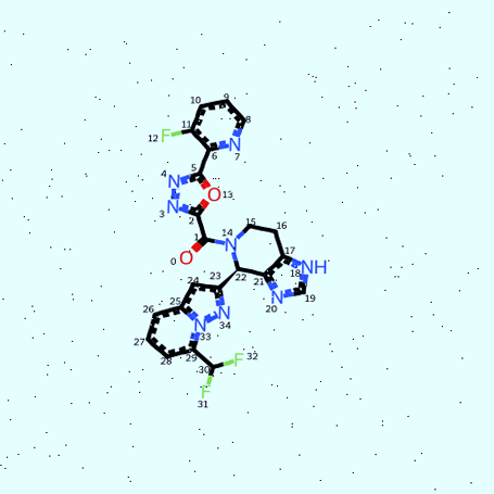 O=C(c1nnc(-c2ncccc2F)o1)N1CCc2[nH]cnc2[C@H]1c1cc2cccc(C(F)F)n2n1